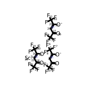 O=C(/C=C(\[O-])C(F)(F)F)C(F)(F)F.O=C(/C=C(\[O-])C(F)(F)F)C(F)(F)F.O=C(/C=C(\[O-])C(F)(F)F)C(F)(F)F.[Sc+3]